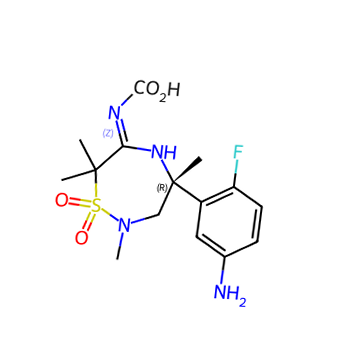 CN1C[C@@](C)(c2cc(N)ccc2F)N/C(=N\C(=O)O)C(C)(C)S1(=O)=O